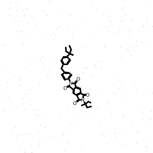 CCC(C)(CC)c1ccc(Cc2ccc(-n3c(=O)c4cc5c(=O)n(C(C)(CC)CC)c(=O)c5cc4c3=O)cc2)cc1